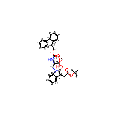 CC(C)(C)OC(=O)Cc1cn(CC(NC(=O)OCC2c3ccccc3-c3ccccc32)C(=O)O)c2ccccc12